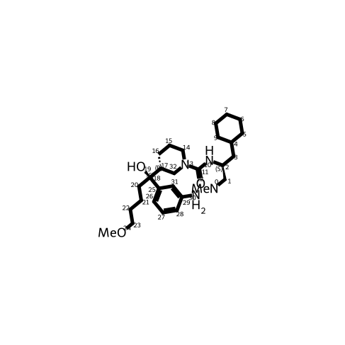 CNC[C@H](CC1CCCCC1)NC(=O)N1CCC[C@@H]([C@@](O)(CCCCOC)c2cccc(N)c2)C1